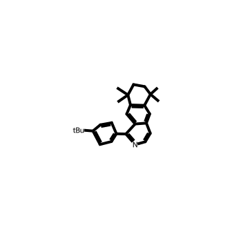 CC(C)(C)c1ccc(-c2nccc3cc4c(cc23)C(C)(C)CCC4(C)C)cc1